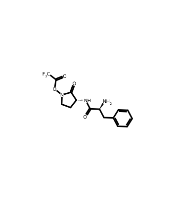 N[C@@H](Cc1ccccc1)C(=O)N[C@@H]1CCN(OC(=O)C(F)(F)F)C1=O